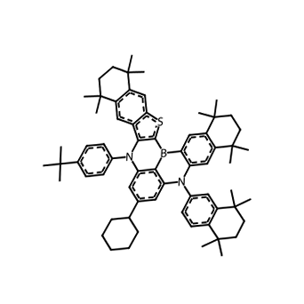 CC(C)(C)c1ccc(N2c3cc(C4CCCCC4)cc4c3B(c3cc5c(cc3N4c3ccc4c(c3)C(C)(C)CCC4(C)C)C(C)(C)CCC5(C)C)c3sc4cc5c(cc4c32)C(C)(C)CCC5(C)C)cc1